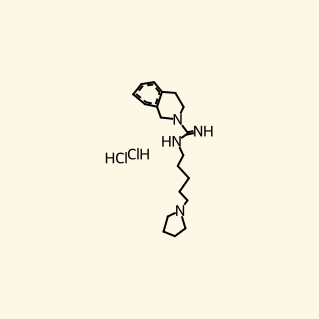 Cl.Cl.N=C(NCCCCCN1CCCC1)N1CCc2ccccc2C1